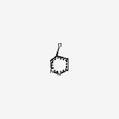 Clc1ccnnc1